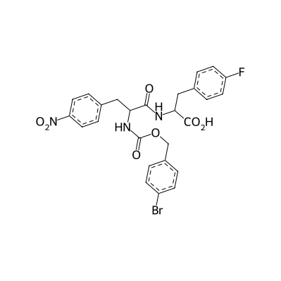 O=C(NC(Cc1ccc([N+](=O)[O-])cc1)C(=O)NC(Cc1ccc(F)cc1)C(=O)O)OCc1ccc(Br)cc1